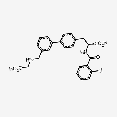 O=C(O)CNCc1cccc(-c2ccc(C[C@H](NC(=O)c3ccccc3Cl)C(=O)O)cc2)c1